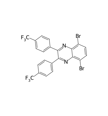 FC(F)(F)c1ccc(-c2nc3c(Br)ccc(Br)c3nc2-c2ccc(C(F)(F)F)cc2)cc1